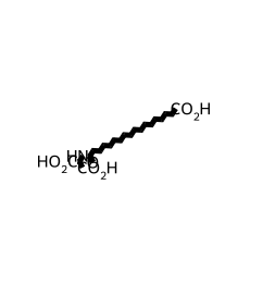 O=C(O)CCCCCCCCCCCCCCCCC(=O)NC(C(=O)O)C(=O)O